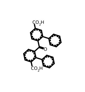 O=C(O)c1ccc(C(=O)c2cccc(C(=O)O)c2-c2ccccc2)c(-c2ccccc2)c1